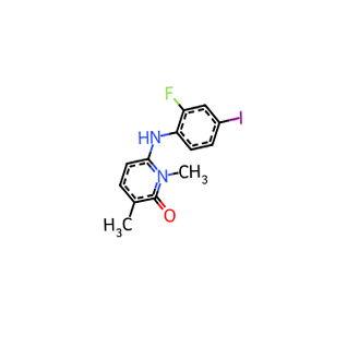 Cc1ccc(Nc2ccc(I)cc2F)n(C)c1=O